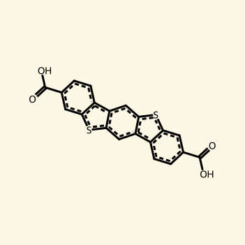 O=C(O)c1ccc2c(c1)sc1cc3c(cc12)sc1cc(C(=O)O)ccc13